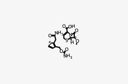 CO[C@@H]1C(=O)N2C(C(=O)O)=CCS[C@@H]12.NC(=O)Cc1sccc1COC(N)=O